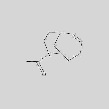 CC(=O)N1CCC2C=CCCC1C2